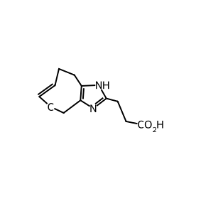 O=C(O)CCc1nc2c([nH]1)CC/C=C/CC2